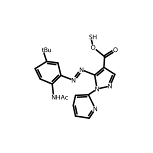 CC(=O)Nc1ccc(C(C)(C)C)cc1/N=N/c1c(C(=O)OS)cnn1-c1ccccn1